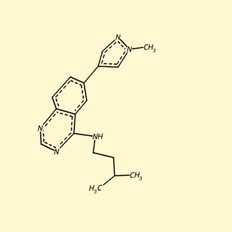 CC(C)CCNc1ncnc2ccc(-c3cnn(C)c3)cc12